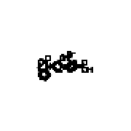 O=C(O)c1ccc(N2CCC(N3C(=O)OCc4ccccc43)CC2)c([N+](=O)[O-])c1